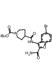 CC(C)COC(=O)N1CCC(C(=O)Nc2c(C(N)=O)oc3ccc(Br)cc23)CC1